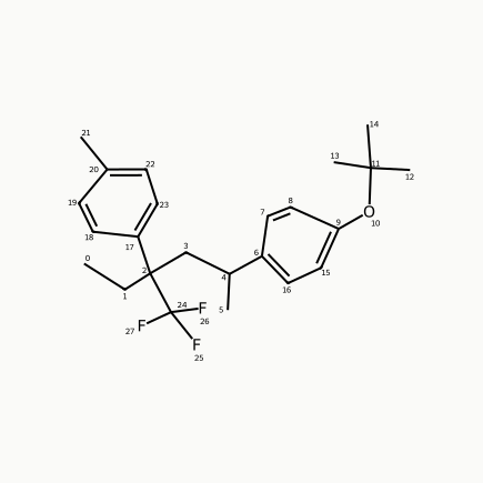 CCC(CC(C)c1ccc(OC(C)(C)C)cc1)(c1ccc(C)cc1)C(F)(F)F